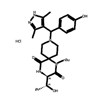 CCCCN1C(=O)[C@@H]([C@H](O)C(C)C)NC(=O)C12CCN(C(c1ccc(O)cc1)c1c(C)n[nH]c1C)CC2.Cl